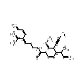 C=C/C=C\C(=C/CCNC(=P)C/C=C\C(C(C)C=C)C(C#CC)/C=N\C)C(=C)C